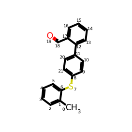 Cc1ccccc1Sc1ccc(-c2ccccc2C=O)cc1